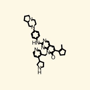 CC1=C(c2cc3cnc(Nc4ccc(N5CCN6CCCC6C5)cc4)nc3n(Cc3cnccc3C3CCNC3)c2=O)CCC1